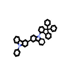 C1=Cc2c(n(-c3cccc4c3-c3ccccc3C4(c3ccccc3)c3ccccc3)c3ccc(-c4ccc5c(c4)c4ccccc4n5-c4ccccc4)cc23)CC1